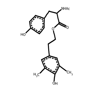 CC(=O)NC(Cc1ccc(O)cc1)C(=O)OCCc1cc(C)c(O)c(C)c1